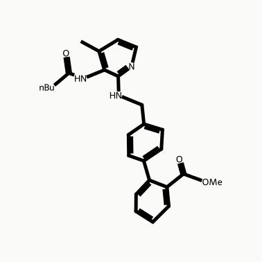 CCCCC(=O)Nc1c(C)ccnc1NCc1ccc(-c2ccccc2C(=O)OC)cc1